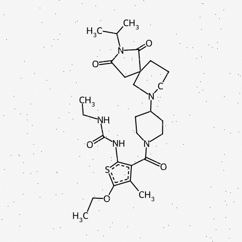 CCNC(=O)Nc1sc(OCC)c(C)c1C(=O)N1CCC(N2CCCC3(CC(=O)N(C(C)C)C3=O)C2)CC1